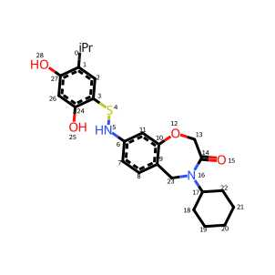 CC(C)c1cc(SNc2ccc3c(c2)OCC(=O)N(C2CCCCC2)C3)c(O)cc1O